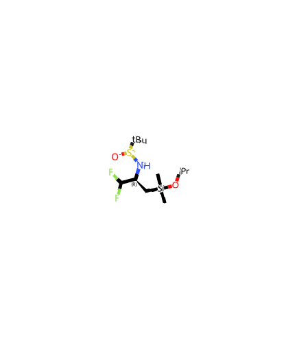 CC(C)O[Si](C)(C)C[C@H](N[S+]([O-])C(C)(C)C)C(F)F